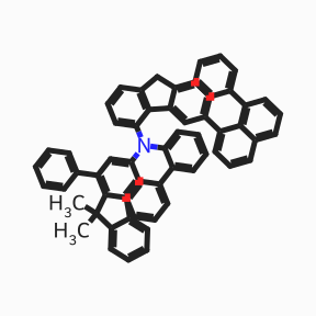 CC1(C)c2ccccc2-c2cc(N(c3ccccc3-c3ccccc3)c3cccc4c3-c3cc(-c5cccc6cccc(-c7ccccc7)c56)ccc3C4)cc(-c3ccccc3)c21